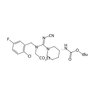 CCOC(=O)CN(Cc1cc(F)ccc1Cl)C(=NC#N)N1CCC[C@@H](NC(=O)OC(C)(C)C)C1